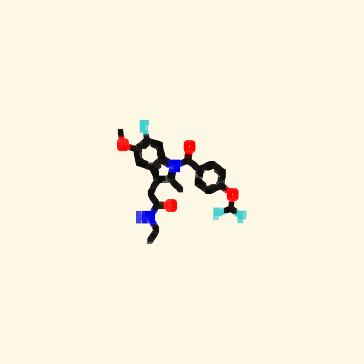 CCNC(=O)Cc1c(C)n(C(=O)c2ccc(OC(F)F)cc2)c2cc(F)c(OC)cc12